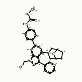 CCn1nc(-c2cccnc2)c2c(N3CC4CCC(C3)O4)nc(-c3ccc(NC(=O)NC)cc3)nc21